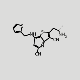 C[C@H](N)Cc1sc2c(NCc3cccs3)cc(C#N)nc2c1C#N